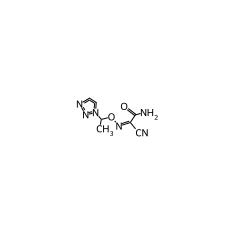 CC(ON=C(C#N)C(N)=O)n1ccnn1